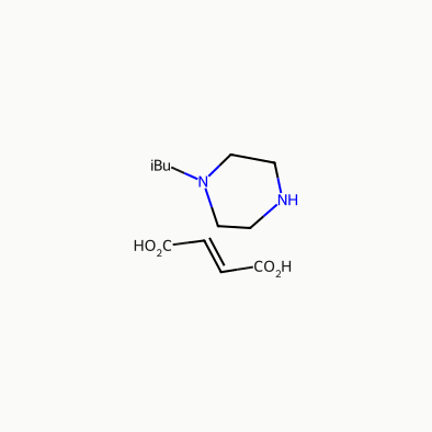 CCC(C)N1CCNCC1.O=C(O)/C=C/C(=O)O